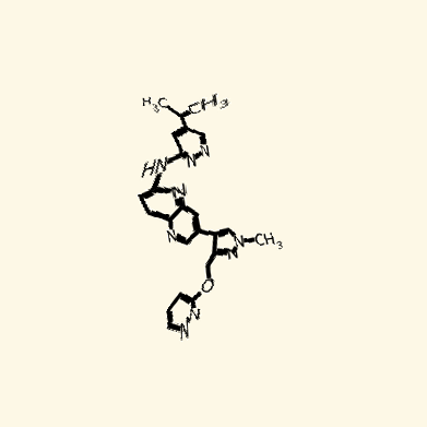 CC(C)c1cnnc(Nc2ccc3ncc(-c4cn(C)nc4COc4cccnn4)cc3n2)c1